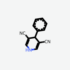 N#CC1=CNC=C(C#N)C1c1ccccc1